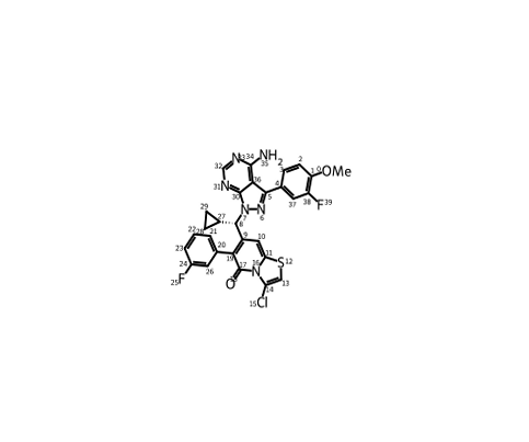 COc1ccc(-c2nn([C@H](c3cc4scc(Cl)n4c(=O)c3-c3cccc(F)c3)C3CC3)c3ncnc(N)c23)cc1F